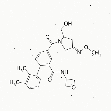 CO/N=C1\CC(CO)N(C(=O)c2ccc(-c3cccc(C)c3C)c(C(=O)NC3COC3)c2)C1